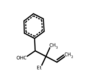 C=CC(C)(CC)C(C=O)c1ccccc1